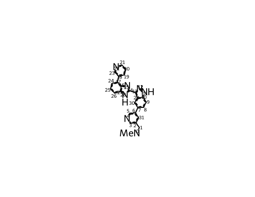 CNCc1cncc(-c2ccc3[nH]nc(-c4nc5c(-c6cccnc6)cccc5[nH]4)c3c2)c1